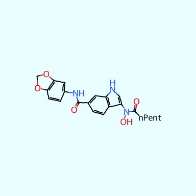 CCCCCC(=O)N(O)c1c[nH]c2cc(C(=O)Nc3ccc4c(c3)OCO4)ccc12